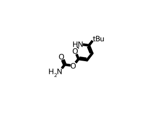 CC(C)(C)C1=CC=C(OC(N)=O)ON1